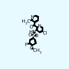 COc1ccc(S(=O)(=O)Nc2cc(Cl)cnc2C(=O)c2cccnc2C)cc1F